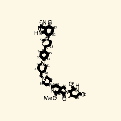 COc1nc(N2CCN(CC3CCN(c4ccc(C5CCN(c6ccc(Cl)c7c(C#N)n[nH]c67)CC5)cc4)CC3)CC2)cc2c1C(=O)N(C1CCC(=O)NC1=O)C2